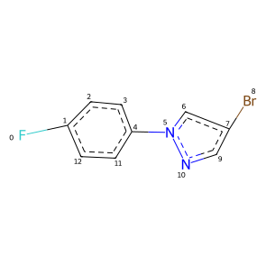 Fc1ccc(-n2cc(Br)cn2)cc1